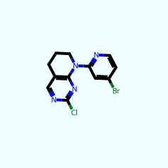 Clc1ncc2c(n1)N(c1cc(Br)ccn1)CCC2